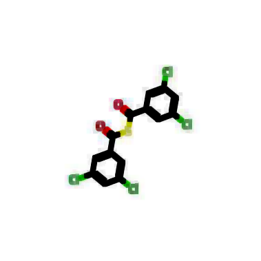 O=C(SC(=O)c1cc(Cl)cc(Cl)c1)c1cc(Cl)cc(Cl)c1